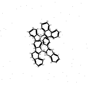 c1ccc(-c2nc3ccccc3nc2-n2c3cc4c(cc3c3ccc5ccccc5c32)c2ccccc2n4-c2cc3ccccc3c3ccccc23)cc1